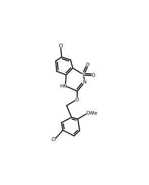 COc1ccc(Cl)cc1COC1=NS(=O)(=O)c2cc(Cl)ccc2N1